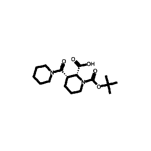 CC(C)(C)OC(=O)N1CCC[C@H](C(=O)N2CCCCC2)[C@@H]1C(=O)O